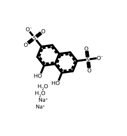 O.O.O=S(=O)([O-])c1cc(O)c2c(O)cc(S(=O)(=O)[O-])cc2c1.[Na+].[Na+]